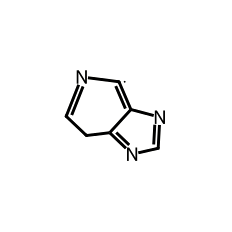 [C]1=C2N=CN=C2CC=N1